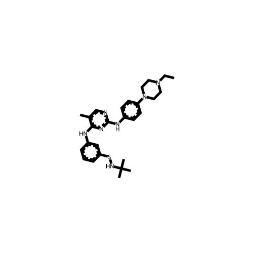 CCN1CCN(c2ccc(Nc3ncc(C)c(Nc4cccc(SNC(C)(C)C)c4)n3)cc2)CC1